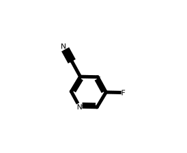 N#Cc1[c]c(F)cnc1